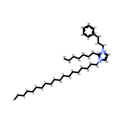 CCCCCCCCCCCCCCCCCCCn1cc[n+](CCCc2ccccc2)c1CCCCCCC